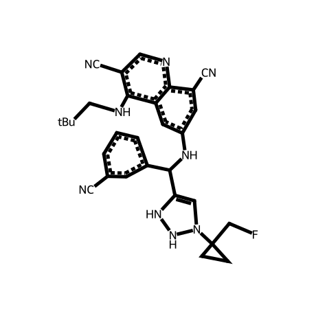 CC(C)(C)CNc1c(C#N)cnc2c(C#N)cc(NC(C3=CN(C4(CF)CC4)NN3)c3cccc(C#N)c3)cc12